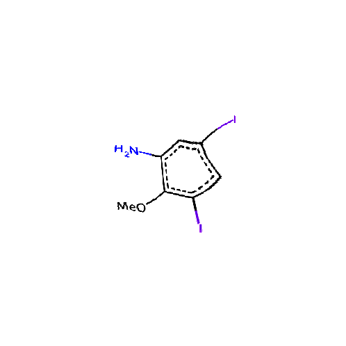 COc1c(N)cc(I)cc1I